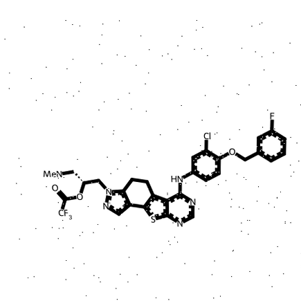 CNC[C@H](Cn1ncc2c1CCc1c-2sc2ncnc(Nc3ccc(OCc4cccc(F)c4)c(Cl)c3)c12)OC(=O)C(F)(F)F